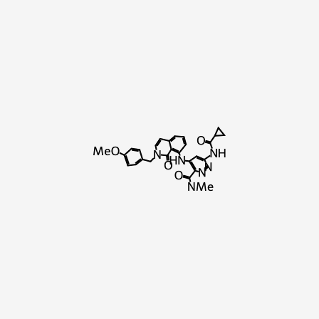 CNC(=O)c1nnc(NC(=O)C2CC2)cc1Nc1cccc2ccn(Cc3ccc(OC)cc3)c(=O)c12